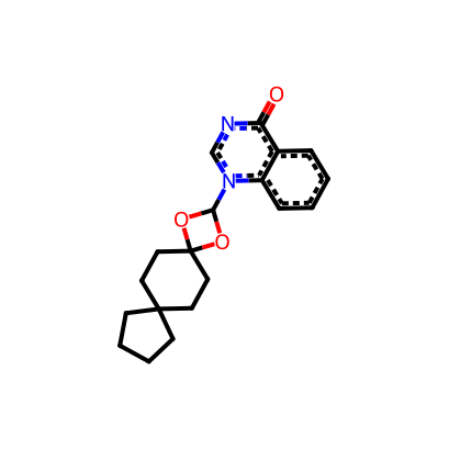 O=c1ncn(C2OC3(CCC4(CCCC4)CC3)O2)c2ccccc12